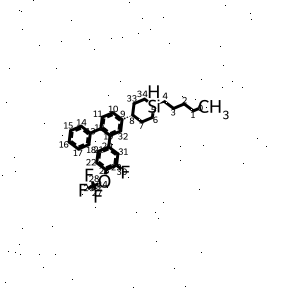 CCCCC[Si@H]1CC[C@H](c2ccc(-c3ccccc3)c(-c3ccc(OC(F)(F)F)c(F)c3)c2)CC1